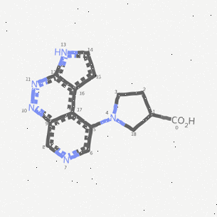 O=C(O)C1CCN(c2cncc3nnc4[nH]ccc4c23)C1